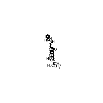 CC(C)(C)COC(=O)CC(Cc1ccc2oc(CCCNc3nc4ccccc4[nH]3)cc(=O)c2c1)C(=O)O